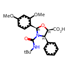 COc1ccc([C@H]2O[C@@H](C(=O)O)[C@@H](c3ccccc3)N2C(=O)NC(C)(C)C)c(OC)c1